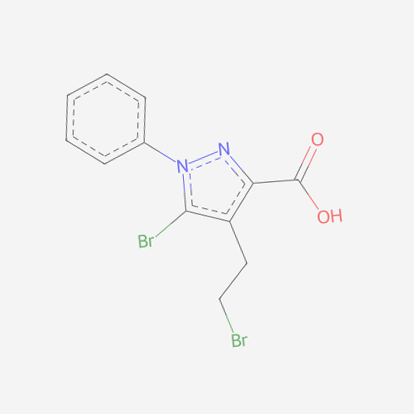 O=C(O)c1nn(-c2ccccc2)c(Br)c1CCBr